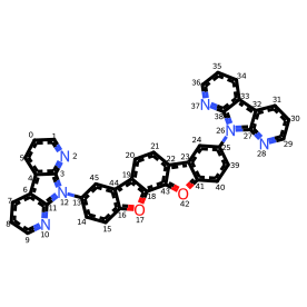 c1cnc2c(c1)c1cccnc1n2-c1ccc2oc3c(ccc4c5cc(-n6c7ncccc7c7cccnc76)ccc5oc43)c2c1